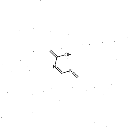 C=N/C=N\C(=C)O